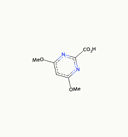 COc1cc(OC)nc(C(=O)O)n1